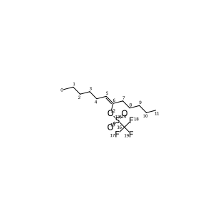 CCCCCC=C(CCCCC)OS(=O)(=O)C(F)(F)F